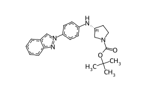 CC(C)(C)OC(=O)N1CC[C@@H](Nc2ccc(-n3cc4ccccc4n3)cc2)C1